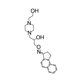 OCCN1CCN(CC(O)CO/N=C2\CCc3c2ccc2ccccc32)CC1